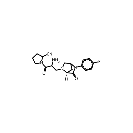 N#CC1CCCN1C(=O)C(N)CN1CC2C[C@H]1C(=O)N2c1ccc(F)cc1